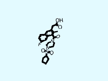 Cc1c(CC(=O)O)cc2ccc(F)cc2c1C(=O)N1CCN(S(=O)(=O)C2CCCC2)CC1